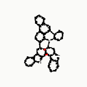 c1ccc(N(c2ccc3c(c2)oc2ccccc23)c2ccccc2-c2ccc3oc4ccccc4c3c2)c(-c2ccc3ccccc3c2)c1